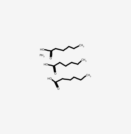 CCCCCC(=O)O.CCCCCC(=O)O.CCCCCC(=O)O.P